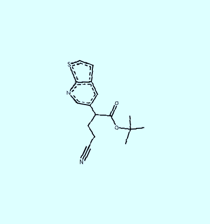 CC(C)(C)OC(=O)C(CCC#N)c1cnc2sccc2c1